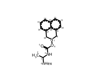 CCCCCCC(C)NC(=O)ON1Cc2cccc3cccc(c23)C1